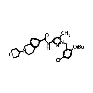 Cc1cc(NC(=O)c2ccc3c(c2)CCN(C2CCOCC2)C3)nn1Cc1cc(Cl)ccc1OCC(C)C